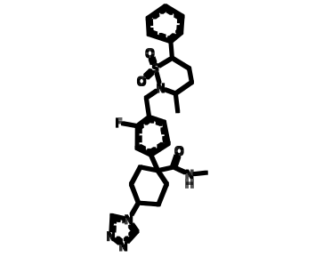 CNC(=O)C1(c2ccc(CN3C(C)CCC(c4ccccc4)S3(=O)=O)c(F)c2)CCC(n2cnnc2)CC1